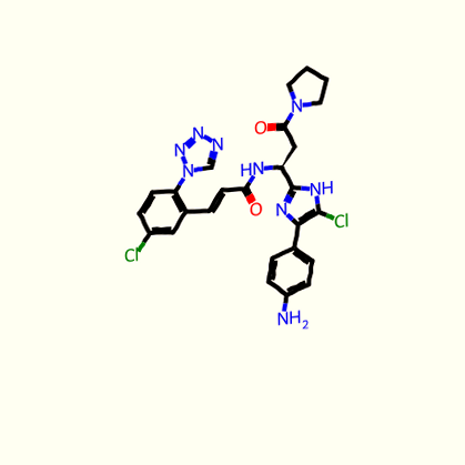 Nc1ccc(-c2nc([C@H](CC(=O)N3CCCC3)NC(=O)/C=C/c3cc(Cl)ccc3-n3cnnn3)[nH]c2Cl)cc1